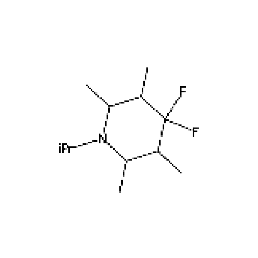 CC(C)N1C(C)C(C)C(F)(F)C(C)C1C